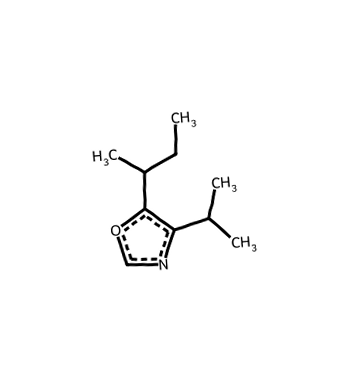 CCC(C)c1ocnc1C(C)C